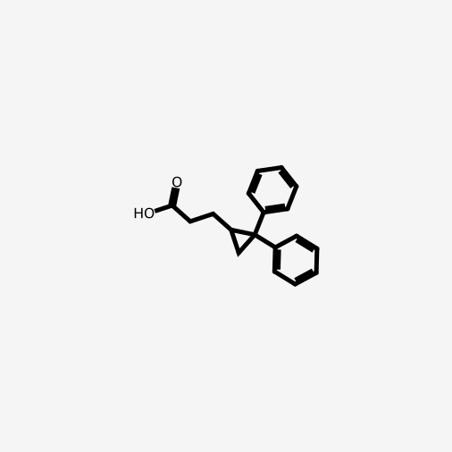 O=C(O)CCC1CC1(c1ccccc1)c1ccccc1